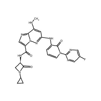 CNc1cc(Nc2cccn(-c3ncc(F)cn3)c2=O)nn2c(C(=O)N[C@@H]3CN(C4CC4)C3=O)cnc12